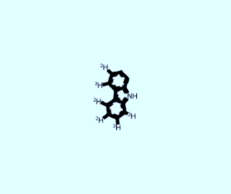 [2H]c1ccc2[nH]c3c([2H])c([2H])c([2H])c([2H])c3c2c1[2H]